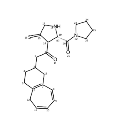 O=C(CC1CCC2=C(C=CC=CC2)C1)C1C(=S)CN[C@@H]1C(=O)N1CCCC1